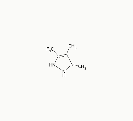 CC1=C(C(F)(F)F)NNN1C